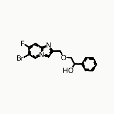 OC(COCc1cn2cc(Br)c(F)cc2n1)c1ccccc1